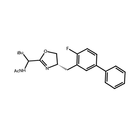 CCC(C)C(NC(C)=O)C1=N[C@@H](Cc2cc(-c3ccccc3)ccc2F)CO1